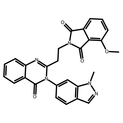 COc1cccc2c1C(=O)N(CCc1nc3ccccc3c(=O)n1-c1ccc3cnn(C)c3c1)C2=O